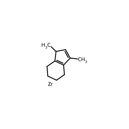 C[C]1C=C(C)C2=C1CCCC2.[Zr]